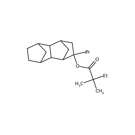 CCC(C)(C)C(=O)OC1(C(C)C)CC2CC1C1C3CCC(C3)C21